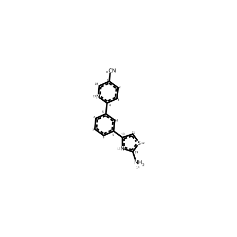 N#Cc1ccc(-c2cccc(-c3csc(N)n3)c2)nc1